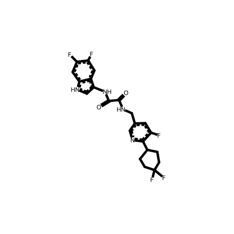 O=C(NCc1cnc(C2CCC(F)(F)CC2)c(F)c1)C(=O)Nc1c[nH]c2cc(F)c(F)cc12